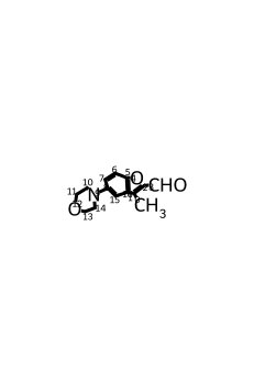 Cc1c(C=O)oc2ccc(N3CCOCC3)cc12